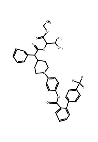 CCOC(=O)C(OC(=O)C(c1ccccc1)C1CCN(c2ccc(NC(=O)c3ccccc3-c3ccc(C(F)(F)F)cc3)cc2)CC1)C(C)C